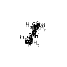 Cc1nn(-c2ccc(NC(=O)c3cc(C)n(-c4ccccc4C(F)(F)F)c3C)cc2)c(C)c1C(=O)O